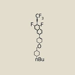 CCCCC1CCC(COC2CC=C(c3ccc4c(F)c(C#CC(F)(F)F)c(F)cc4c3)CC2)CC1